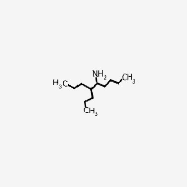 CCCCC(N)C(CCC)CCC